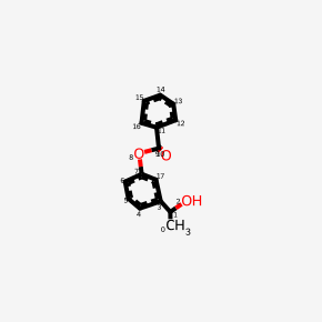 CC(O)c1cccc(OC(=O)c2ccccc2)c1